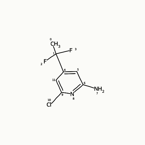 CC(F)(F)c1cc(N)nc(Cl)c1